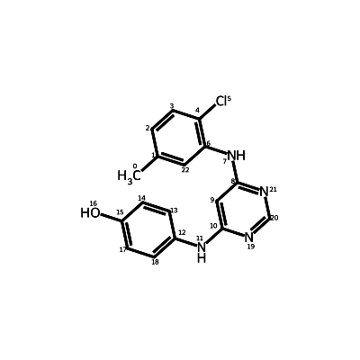 Cc1ccc(Cl)c(Nc2cc(Nc3ccc(O)cc3)ncn2)c1